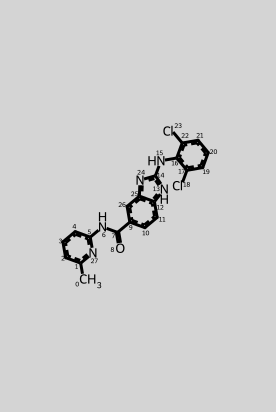 Cc1cccc(NC(=O)c2ccc3[nH]c(Nc4c(Cl)cccc4Cl)nc3c2)n1